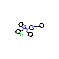 Clc1ccccc1Cn1c(N(Cc2ccccc2)C2CCN(CCc3ccccc3)CC2)nc2ccccc21